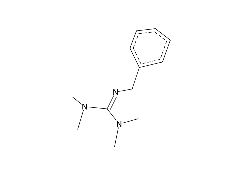 CN(C)C(=NCc1ccccc1)N(C)C